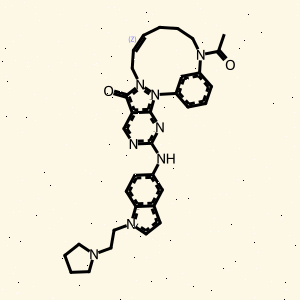 CC(=O)N1CCC/C=C\Cn2c(=O)c3cnc(Nc4ccc5c(ccn5CCN5CCCC5)c4)nc3n2-c2cccc1c2